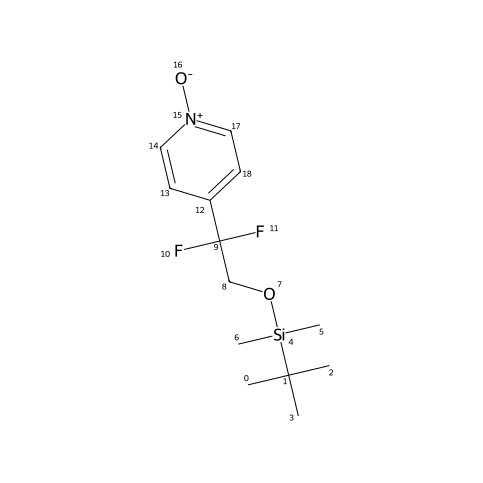 CC(C)(C)[Si](C)(C)OCC(F)(F)c1cc[n+]([O-])cc1